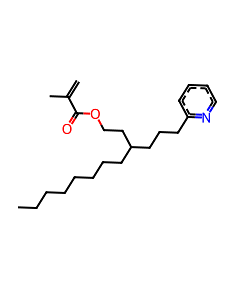 C=C(C)C(=O)OCCC(CCCCCCCC)CCCc1ccccn1